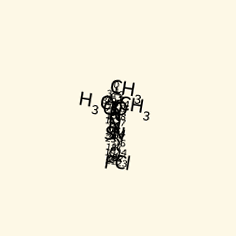 Cc1cc(C)c(S(=O)(=O)N2CCN(c3nc(Cc4ccc(F)c(Cl)c4)cs3)CC2)c(C)c1